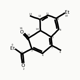 CCC(=O)C1=CC(C)=C2C=C(CC)C=C(C)C2C1=O